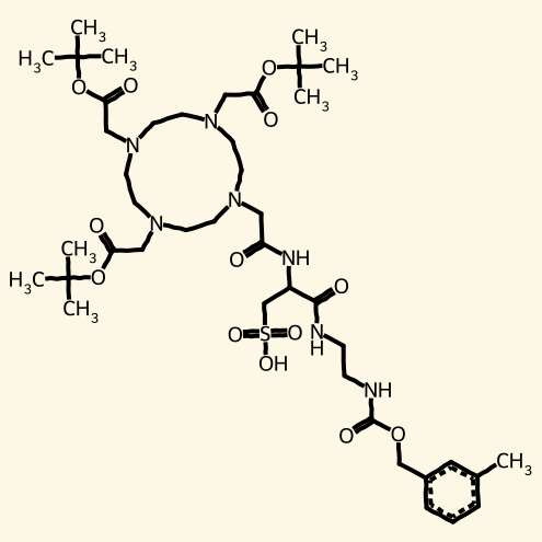 Cc1cccc(COC(=O)NCCNC(=O)C(CS(=O)(=O)O)NC(=O)CN2CCN(CC(=O)OC(C)(C)C)CCN(CC(=O)OC(C)(C)C)CCN(CC(=O)OC(C)(C)C)CC2)c1